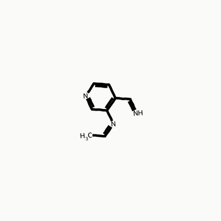 C/C=N\c1cnccc1C=N